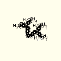 CC(C)(C)c1ccc(N(c2ccc(C(C)(C)C)cc2)c2ccc3cc4c(cc3c2)oc2ccc3oc5cc6cc(N(c7ccc(C(C)(C)C)cc7)c7ccc(C(C)(C)C)cc7)ccc6cc5c3c24)cc1